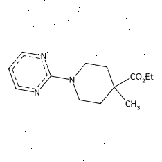 CCOC(=O)C1(C)CCN(c2ncccn2)CC1